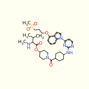 CNC(C(=O)OC1CCN(C(=O)C2CCC(Nc3nccc(-n4ccc5c(OCCCS(C)(=O)=O)cccc54)n3)CC2)CC1)C(C)C